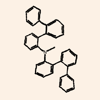 CN(c1ccccc1-c1ccccc1-c1ccccc1)c1ccccc1-c1ccccc1-c1ccccc1